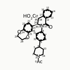 CC(=O)N1CCC(c2ccc(N3C(=O)c4ccccc4[C@@H](C(=O)O)[C@@H]3c3ccc4c(c3)OCCO4)cc2)CC1